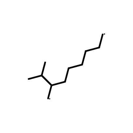 [CH2]CCCCCC([CH2])C(C)C